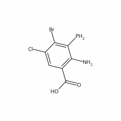 Nc1c(C(=O)O)cc(Cl)c(Br)c1P